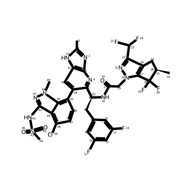 Cc1nc2nc([C@H](Cc3cc(F)cc(F)c3)NC(=O)Cn3nc(C(F)F)c4c3C(F)(F)[C@H](C)C4)c(-c3ccc(Cl)c4c(NS(C)(=O)=O)nn(C)c34)cc2[nH]1